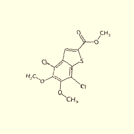 COC(=O)c1cc2c(Cl)c(OC)c(OC)c(Cl)c2s1